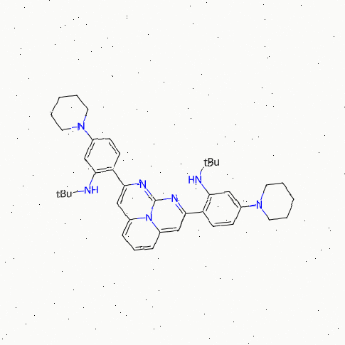 CC(C)(C)Nc1cc(N2CCCCC2)ccc1C1=CC2=CC=CC3=CC(c4ccc(N5CCCCC5)cc4NC(C)(C)C)=NC(=N1)N23